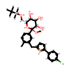 CO[C@@]1(c2ccc(C)c(Cc3ccc(-c4ccc(F)cc4)s3)c2)O[C@H](CO[Si](C)(C)C(C)(C)C)[C@@H](O)C(O)[C@H]1O